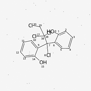 Oc1ccccc1C(Cl)(c1ccccc1O)C(Cl)(Cl)CCl